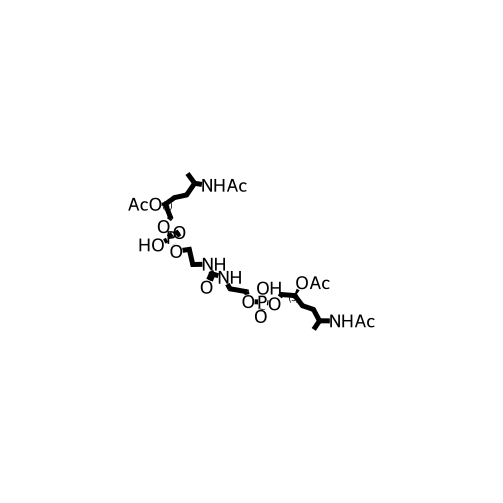 CC(=O)NC(C)CC[C@@H](COP(=O)(O)OCCNC(=O)NCCOP(=O)(O)OC[C@H](CCC(C)NC(C)=O)OC(C)=O)OC(C)=O